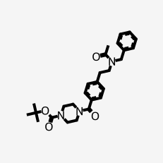 CC(=O)N(CCc1ccc(C(=O)N2CCN(C(=O)OC(C)(C)C)CC2)cc1)Cc1ccccc1